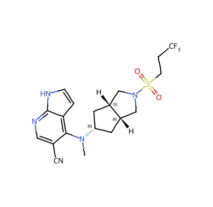 CN(c1c(C#N)cnc2[nH]ccc12)[C@@H]1C[C@@H]2CN(S(=O)(=O)CCC(F)(F)F)C[C@@H]2C1